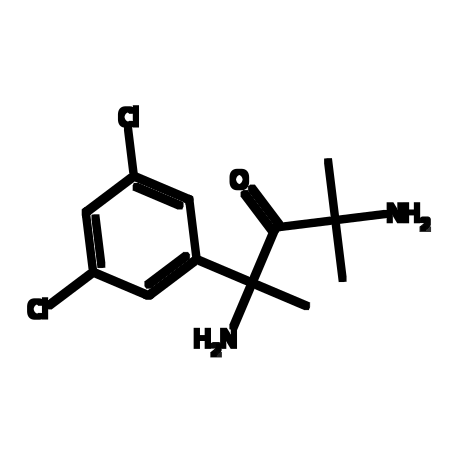 CC(C)(N)C(=O)C(C)(N)c1cc(Cl)cc(Cl)c1